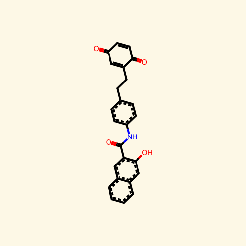 O=C1C=CC(=O)C(CCc2ccc(NC(=O)c3cc4ccccc4cc3O)cc2)=C1